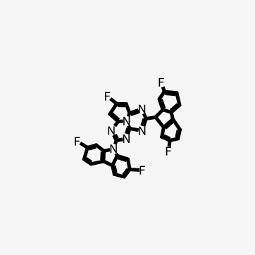 FC1=CC2=NC(C3c4cc(F)ccc4-c4ccc(F)cc43)=NC3=NC(n4c5cc(F)ccc5c5ccc(F)cc54)=NC(=C1)N23